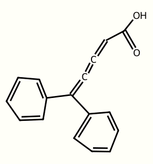 O=C(O)C=C=C=C(c1ccccc1)c1ccccc1